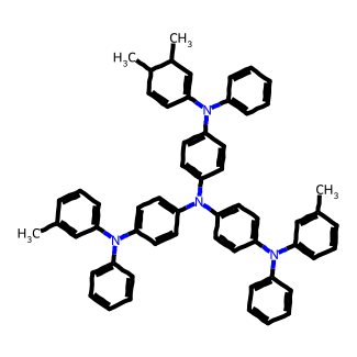 Cc1cccc(N(c2ccccc2)c2ccc(N(c3ccc(N(C4=CC(C)C(C)C=C4)c4ccccc4)cc3)c3ccc(N(c4ccccc4)c4cccc(C)c4)cc3)cc2)c1